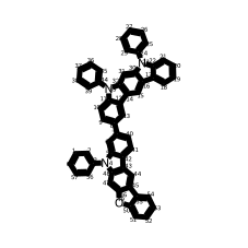 c1ccc(-n2c3cc(-c4ccc5c(c4)c4cc6c7ccccc7n(-c7ccccc7)c6cc4n5-c4ccccc4)ccc3c3cc4c(cc32)oc2ccccc24)cc1